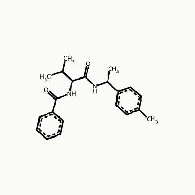 Cc1ccc([C@H](C)NC(=O)[C@@H](NC(=O)c2ccccc2)C(C)C)cc1